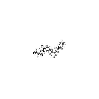 O=C1CCC(N2Cc3cc(O[C@H]4CCCC[C@H]4N4CC(N5CCC(F)(F)CC5)C4)ccc3C2=O)C(=O)N1